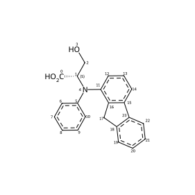 O=C(O)[C@H](CO)N(c1ccccc1)c1cccc2c1Cc1ccccc1-2